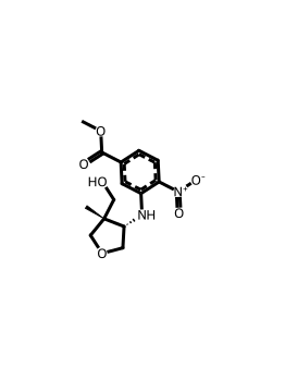 COC(=O)c1ccc([N+](=O)[O-])c(N[C@@H]2COC[C@]2(C)CO)c1